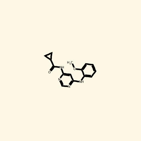 COc1ccccc1Nc1cc(NC(=O)C2CC2)ncn1